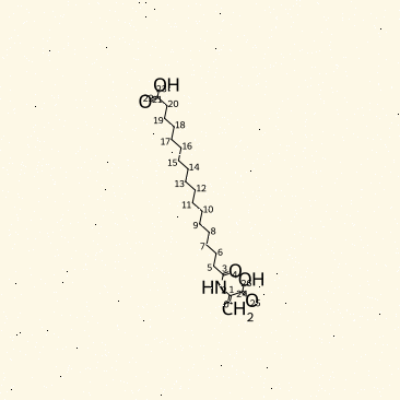 C=C(NC(=O)CCCCCCCCCCCCCCCCC(=O)O)C(=O)O